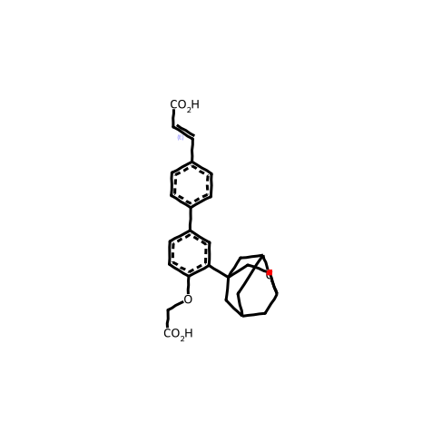 O=C(O)/C=C/c1ccc(-c2ccc(OCC(=O)O)c(C34CCC5CC(CC(C5)C3)C4)c2)cc1